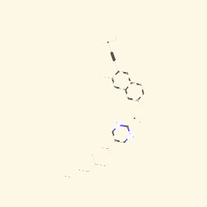 CCCCC1COC(c2cnc(C(F)(F)Oc3ccc4c(F)c(C#CC(F)(F)F)c(F)cc4c3)nc2)OC1